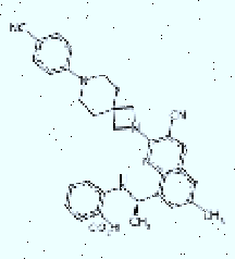 Cc1cc([C@@H](C)Nc2ccccc2C(=O)O)c2nc(N3CC4(CCN(c5ccc(C#N)cc5)CC4)C3)c(C#N)nc2c1